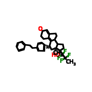 CC(F)(F)C(F)(F)[C@]1(O)CCC2C3CCC4=CC(=O)CCC4=C3[C@@H](c3ccc(CCc4ccccc4)cc3)C[C@@]21C